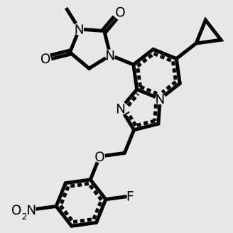 CN1C(=O)CN(c2cc(C3CC3)cn3cc(COc4cc([N+](=O)[O-])ccc4F)nc23)C1=O